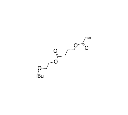 C=CC(=O)OCCCC(=O)OCCOC(C)CC